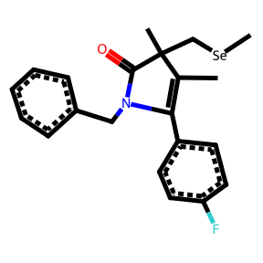 C[Se]CC1(C)C(=O)N(Cc2ccccc2)C(c2ccc(F)cc2)=C1C